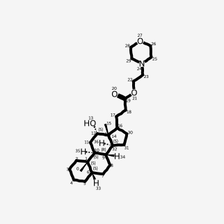 C[C@]12CCCC[C@H]1CC[C@@H]1[C@@H]2C[C@H](O)[C@]2(C)C(CCC(=O)OCCN3CCOCC3)CC[C@@H]12